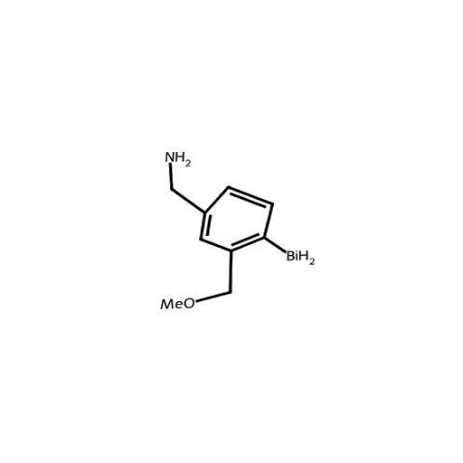 COCc1cc(CN)cc[c]1[BiH2]